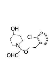 O=CC(OCCc1ccccc1Cl)N1CCC(O)CC1